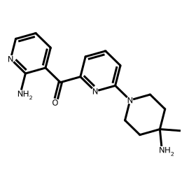 CC1(N)CCN(c2cccc(C(=O)c3cccnc3N)n2)CC1